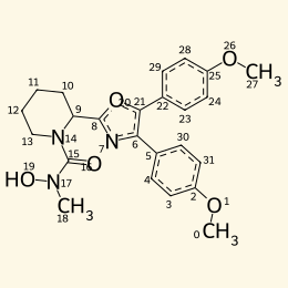 COc1ccc(-c2nc(C3CCCCN3C(=O)N(C)O)oc2-c2ccc(OC)cc2)cc1